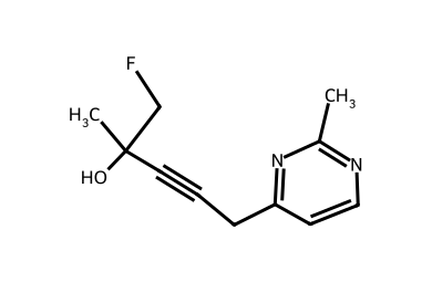 Cc1nccc(CC#CC(C)(O)CF)n1